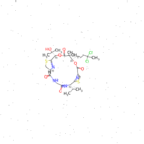 CC(C)[C@@H]1NC(=O)CNC(=O)[C@H]2CSC(=N2)[C@H](C(C)(C)O)OC(=O)C(C)(C)[C@H](CCCC(C)(Cl)Cl)OC(=O)c2csc1n2